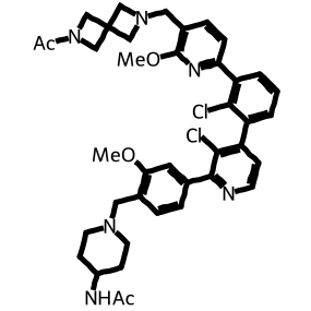 COc1cc(-c2nccc(-c3cccc(-c4ccc(CN5CC6(C5)CN(C(C)=O)C6)c(OC)n4)c3Cl)c2Cl)ccc1CN1CCC(NC(C)=O)CC1